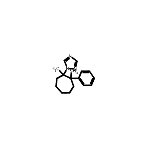 CC1(c2ccccc2)CCCCCC1(C)n1cncn1